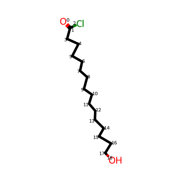 O=C(Cl)CCCCCCCCCCCCCCCO